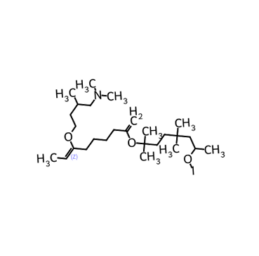 C=C(CCCC/C(=C/C)OCCC(C)CN(C)C)OC(C)(C)CCC(C)(C)CC(C)OI